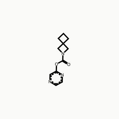 O=C(Oc1cnccn1)N1CC2(CCC2)C1